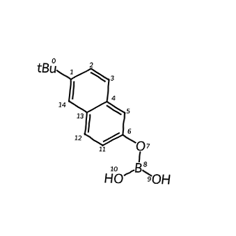 CC(C)(C)c1ccc2cc(OB(O)O)ccc2c1